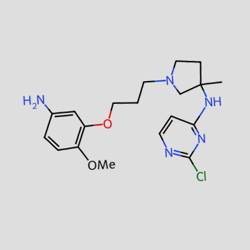 COc1ccc(N)cc1OCCCN1CCC(C)(Nc2ccnc(Cl)n2)C1